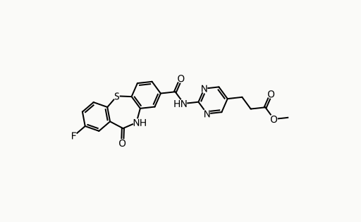 COC(=O)CCc1cnc(NC(=O)c2ccc3c(c2)NC(=O)c2cc(F)ccc2S3)nc1